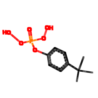 CC(C)(C)c1ccc(OP(=O)(OO)OO)cc1